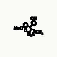 COc1cccc2c1OCCC(CN(C)C)=C2c1cccc(O)c1